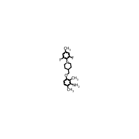 Cc1cc(F)c(N2CCC(COc3ccc(C)c(N)c3C)CC2)c(F)c1